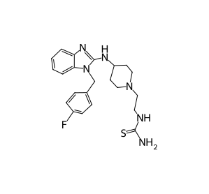 NC(=S)NCCN1CCC(Nc2nc3ccccc3n2Cc2ccc(F)cc2)CC1